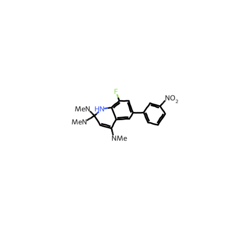 CNC1=CC(NC)(NC)Nc2c(F)cc(-c3cccc([N+](=O)[O-])c3)cc21